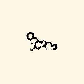 O=c1c(Cc2ccco2)nc2c(Cc3ccccc3)[nH]c(Br)cn1-2